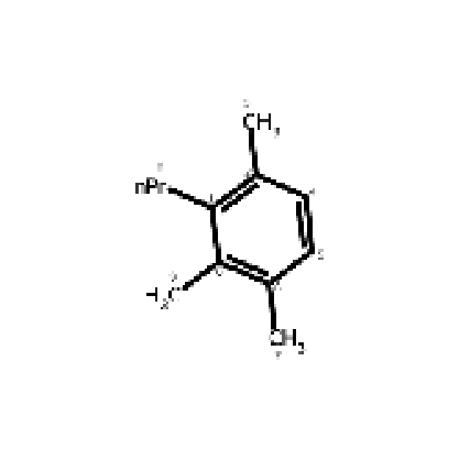 CCCc1c(C)ccc(C)c1C